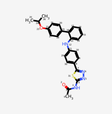 CC(=O)Nc1nnc(-c2ccc(Nc3ccccc3-c3ccc(OC(C)C)cc3)cc2)s1